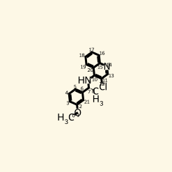 COc1cccc([C@@H](C)Nc2c(Cl)cnc3ccccc23)c1